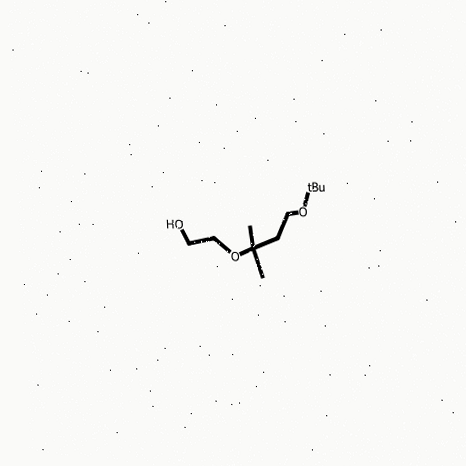 CC(C)(C)OCCC(C)(C)OCCO